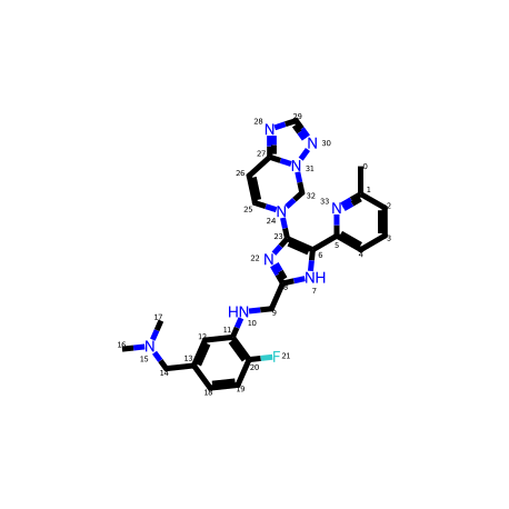 Cc1cccc(-c2[nH]c(CNc3cc(CN(C)C)ccc3F)nc2N2C=Cc3ncnn3C2)n1